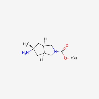 CC(C)(C)OC(=O)N1C[C@@H]2C[C@@](C)(N)C[C@@H]2C1